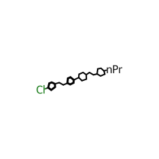 CCCC1CCC(CCC2CCC(c3ccc(CCc4ccc(Cl)cc4)cc3)CC2)CC1